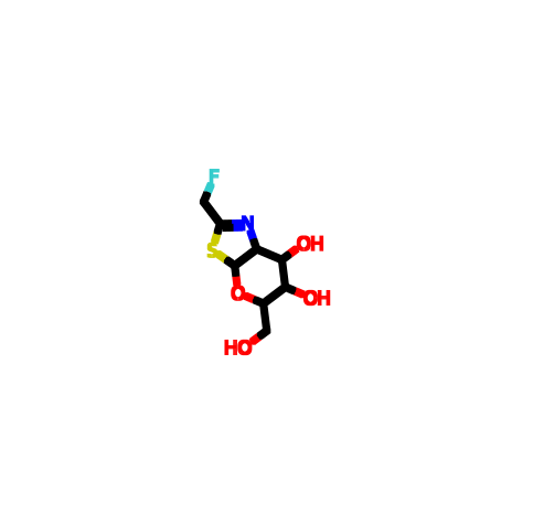 OCC1OC2SC(CF)=NC2C(O)C1O